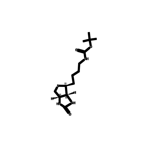 CC(C)(C)OC(=O)NCCCC[C@@H]1SC[C@@H]2NC(=O)N[C@@H]21